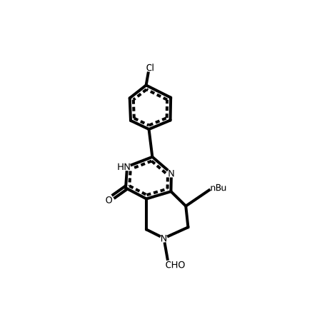 CCCCC1CN(C=O)Cc2c1nc(-c1ccc(Cl)cc1)[nH]c2=O